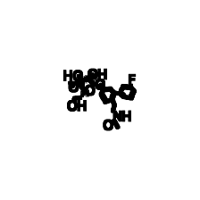 CO[C@@H]1[C@@H](O)[C@@H](O)[C@H](Oc2ccc(CCNC(C)=O)c(-c3cccc(F)c3)c2)O[C@@H]1CCO